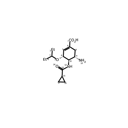 CCC(CC)O[C@@H]1C=C(C(=O)O)C[C@H](N)[C@H]1NC(=O)C1CC1